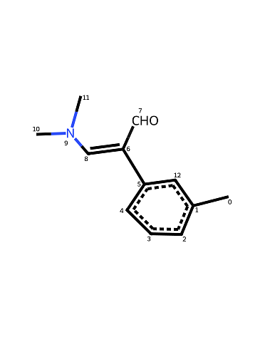 Cc1cccc(C(C=O)=CN(C)C)c1